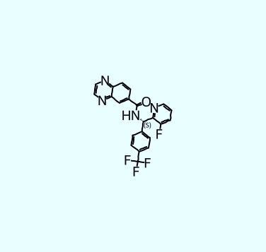 O=C(N[C@@H](c1ccc(C(F)(F)F)cc1)c1ncccc1F)c1ccc2nccnc2c1